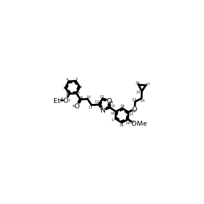 CCOc1ccccc1C(=O)CCc1coc(-c2ccc(OC)c(OCCC3CC3)c2)n1